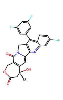 CC[C@@]1(O)CC(=O)OCc2c1cc1n(c2=O)Cc2c-1nc1cc(F)ccc1c2-c1cc(F)cc(F)c1